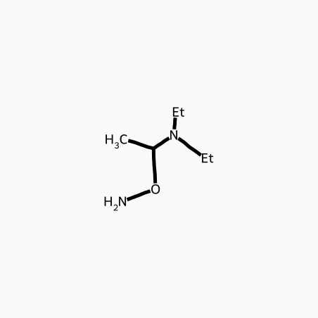 CCN(CC)C(C)ON